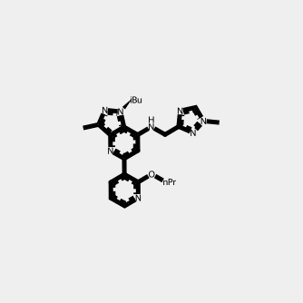 CCCOc1ncccc1-c1cc(NCc2ncn(C)n2)c2c(n1)c(C)nn2[C@H](C)CC